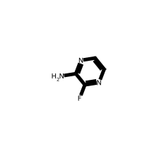 Nc1nc[c]nc1F